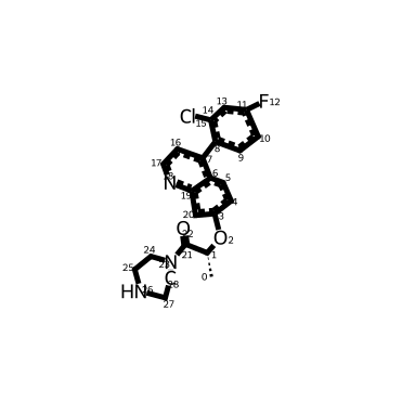 C[C@@H](Oc1ccc2c(-c3ccc(F)cc3Cl)ccnc2c1)C(=O)N1CCNCC1